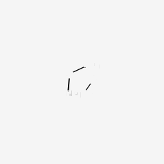 CCC[CH2][Sn][CH2]CCC.O=S(=O)(O)O